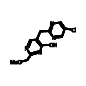 COCc1ncc(Cc2ncc(Cl)cn2)c(O)n1